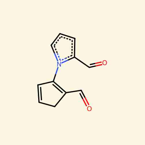 O=CC1=C(n2cccc2C=O)C=CC1